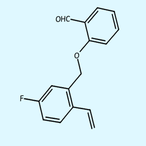 C=Cc1ccc(F)cc1COc1ccccc1C=O